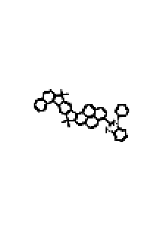 CC1(C)c2cc3c(cc2-c2c1ccc1ccccc21)C(C)(C)c1cc2ccc4c(-c5nc6ccccc6n5-c5ccccc5)ccc5ccc(c1-3)c2c54